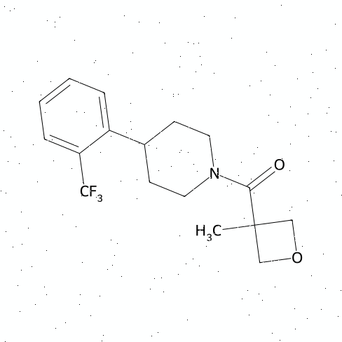 CC1(C(=O)N2CCC(c3ccccc3C(F)(F)F)CC2)COC1